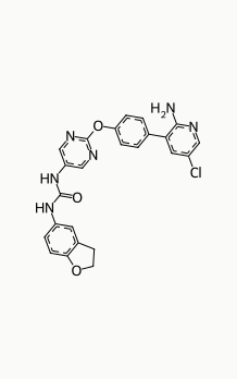 Nc1ncc(Cl)cc1-c1ccc(Oc2ncc(NC(=O)Nc3ccc4c(c3)CCO4)cn2)cc1